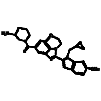 COc1ccc2cc(-c3nc4cc(C(=O)N5CCCC(N)C5)cc5c4n3CCO5)n(CC3CC3)c2c1